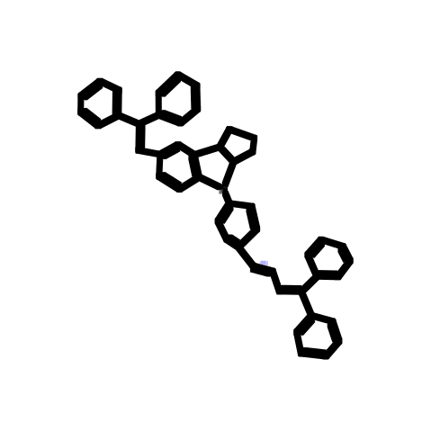 C(/C=C/c1ccc(N2c3ccc(C=C(c4ccccc4)c4ccccc4)cc3C3CCCC32)cc1)=C(c1ccccc1)c1ccccc1